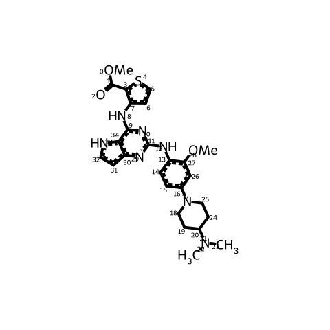 COC(=O)c1sccc1Nc1nc(Nc2ccc(N3CCC(N(C)C)CC3)cc2OC)nc2cc[nH]c12